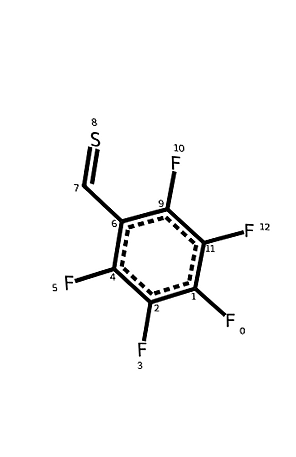 Fc1c(F)c(F)c(C=S)c(F)c1F